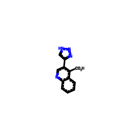 O=C(O)c1c(-c2c[nH]nn2)cnc2ccccc12